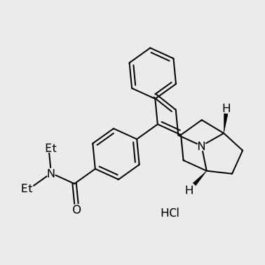 C=CCN1[C@@H]2CC[C@H]1C/C(=C(\c1ccccc1)c1ccc(C(=O)N(CC)CC)cc1)C2.Cl